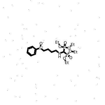 CCOP(=O)(OCC)C(NCCCC[S+]([O-])c1ccccc1)P(=O)(OCC)OCC